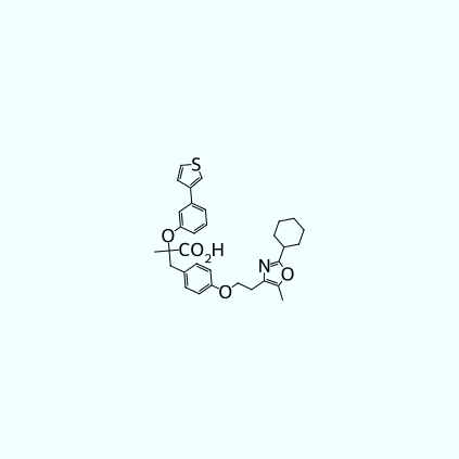 Cc1oc(C2CCCCC2)nc1CCOc1ccc(CC(C)(Oc2cccc(-c3ccsc3)c2)C(=O)O)cc1